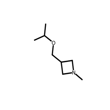 CC(C)OCC1CN(C)C1